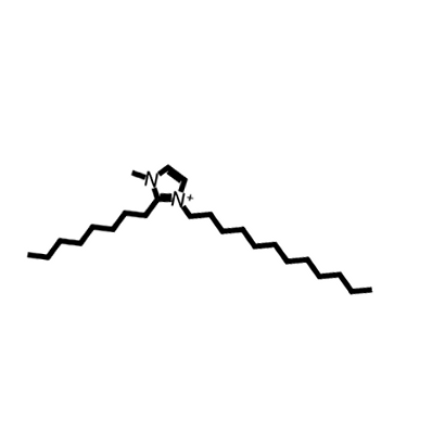 CCCCCCCCCCCC[n+]1ccn(C)c1CCCCCCCC